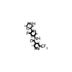 O=C(Nc1cnc(C2CNCCO2)c(F)c1)c1ccnc(C(F)(F)F)c1